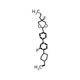 C=CC1CCC(c2ccc(-c3ccc(C4OCC(F)(CCC)CO4)cc3)cc2F)CC1